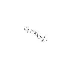 Cc1ccc(N2CCN(C(=O)Oc3ccc(N4C(=O)CC(C)(C)CC4=O)cn3)CC2)nc1